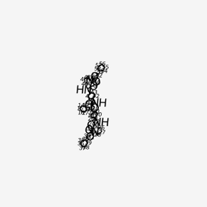 O=C(Nc1ccc(NS(=O)(=O)C(c2ccccc2)c2ccc(NC(=O)[C@@H]3CCCN3C(=O)OCc3ccccc3)cc2)cc1)[C@@H]1CCCN1C(=O)OCc1ccccc1